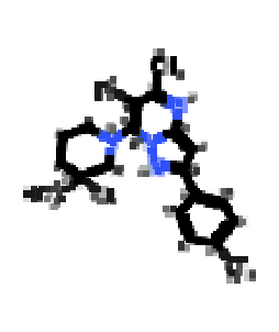 CC[C@@]1(C(=O)O)CCCN(c2c(C(C)C)c(C)nc3cc(-c4ccc(C(F)(F)F)cc4)nn23)C1